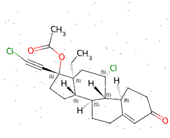 CC[C@]12C[C@H](Cl)[C@H]3[C@@H](CCC4=CC(=O)CC[C@@H]43)[C@@H]1CC[C@]2(C#CCl)OC(C)=O